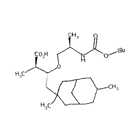 CC1CC2CC(C1)CC(C)(C[C@@H](OC[C@@H](C)NC(=O)OC(C)(C)C)[C@@H](C)C(=O)O)C2